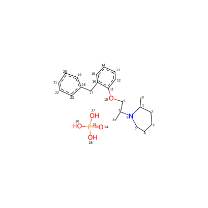 CC1CCCCN1C(C)COc1ccccc1Cc1ccccc1.O=P(O)(O)O